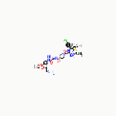 COC(=O)c1ccc(NC(=O)CCNC(=O)C2CCN(C(=O)C[C@@H]3N=C(c4ccc(Cl)cc4)c4c(sc(C)c4C)-n4c(C)nnc43)CC2)cc1C#CCN